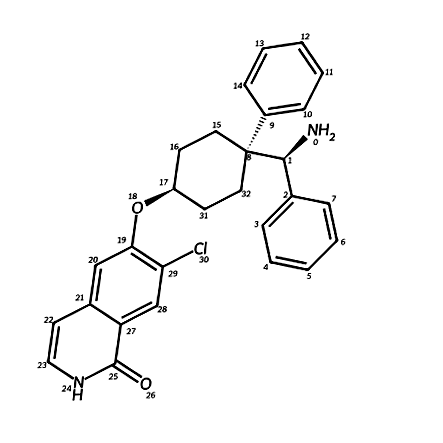 N[C@@H](c1ccccc1)[C@]1(c2ccccc2)CC[C@H](Oc2cc3cc[nH]c(=O)c3cc2Cl)CC1